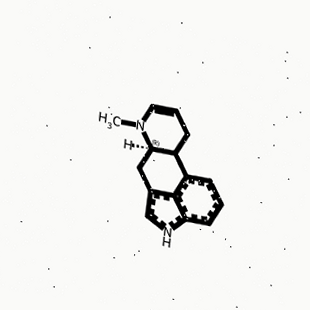 CN1C=CCC2c3cccc4[nH]cc(c34)C[C@H]21